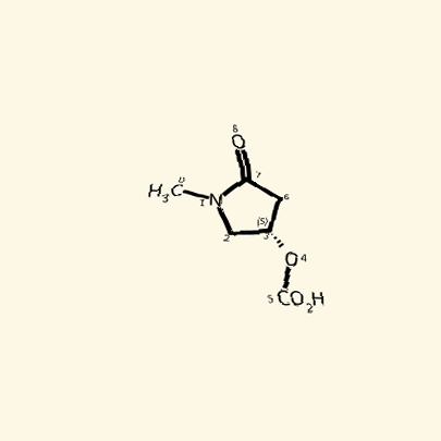 CN1C[C@@H](OC(=O)O)CC1=O